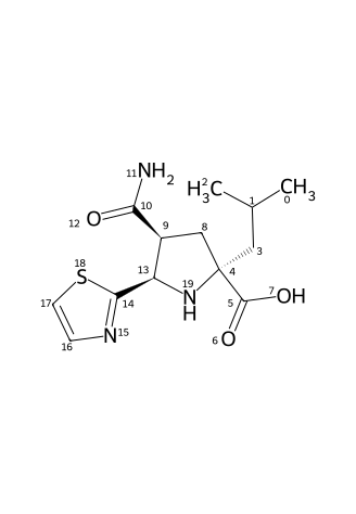 CC(C)C[C@@]1(C(=O)O)C[C@H](C(N)=O)[C@H](c2nccs2)N1